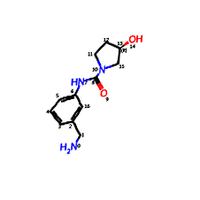 NCc1cccc(NC(=O)N2CC[C@@H](O)C2)c1